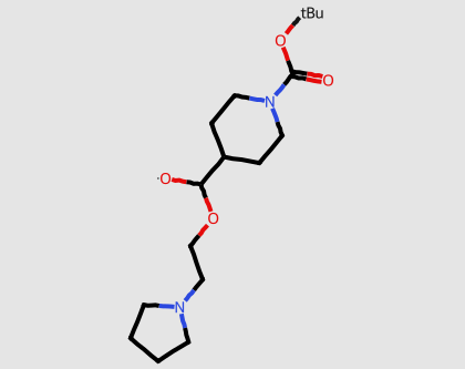 CC(C)(C)OC(=O)N1CCC(C([O])OCCN2CCCC2)CC1